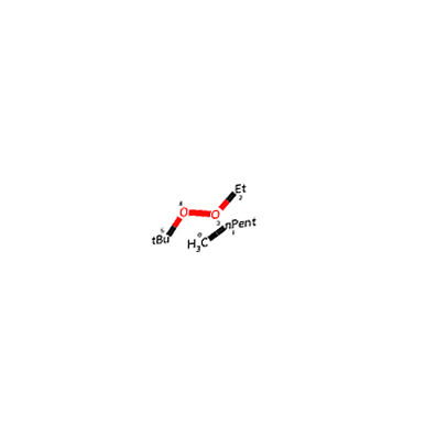 CCCCCC.CCOOC(C)(C)C